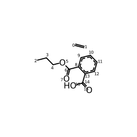 C=C.CCCOC(=O)c1ccccc1C(=O)O